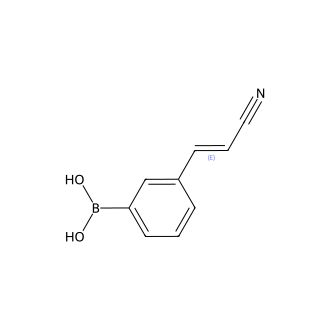 N#C/C=C/c1cccc(B(O)O)c1